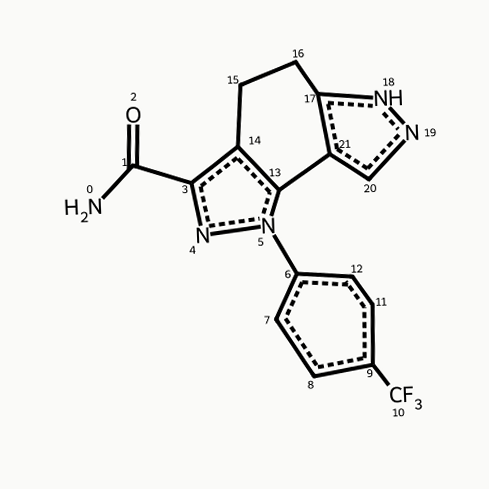 NC(=O)c1nn(-c2ccc(C(F)(F)F)cc2)c2c1CCc1[nH]ncc1-2